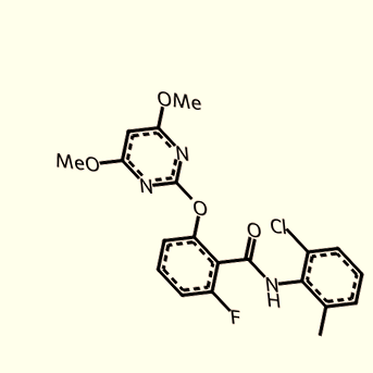 COc1cc(OC)nc(Oc2cccc(F)c2C(=O)Nc2c(C)cccc2Cl)n1